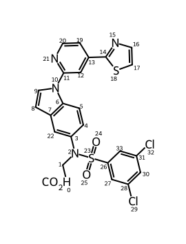 O=C(O)CN(c1ccc2c(ccn2-c2cc(-c3nccs3)ccn2)c1)S(=O)(=O)c1cc(Cl)cc(Cl)c1